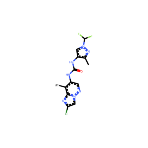 Cc1nn(C(F)F)cc1NC(=O)Nc1cnn2cc(Cl)nc2c1C(C)C